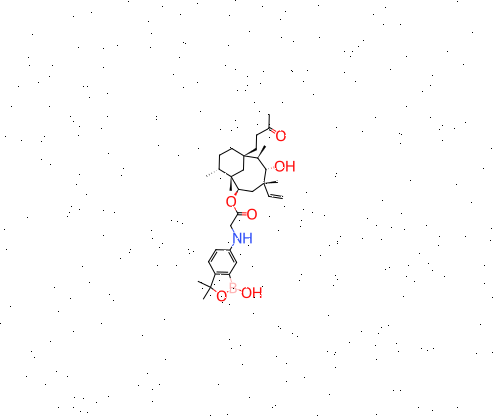 C=C[C@]1(C)C[C@@H](OC(=O)CNc2ccc3c(c2)B(O)OC3(C)C)[C@@]2(C)C[C@](CCC(C)=O)(CC[C@H]2C)[C@@H](C)[C@@H]1O